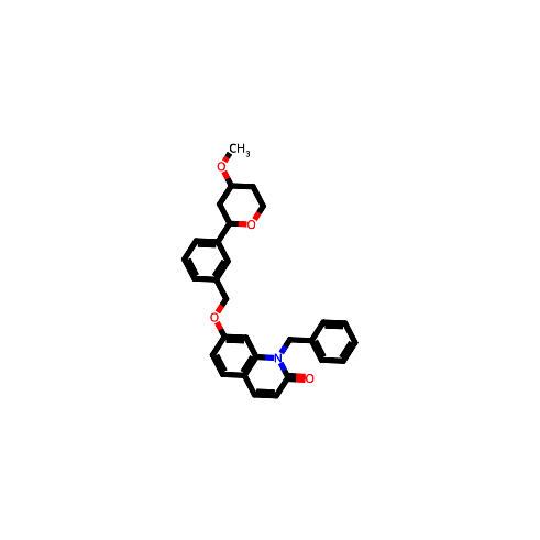 COC1CCOC(c2cccc(COc3ccc4ccc(=O)n(Cc5ccccc5)c4c3)c2)C1